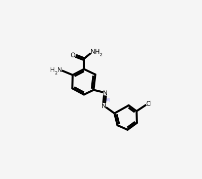 NC(=O)c1cc(/N=N/c2cccc(Cl)c2)ccc1N